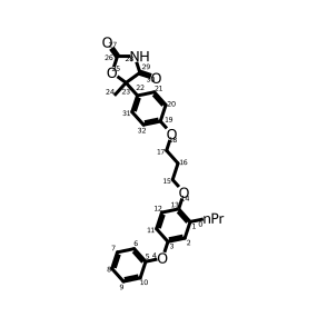 CCCc1cc(Oc2ccccc2)ccc1OCCCOc1ccc(C2(C)OC(=O)NC2=O)cc1